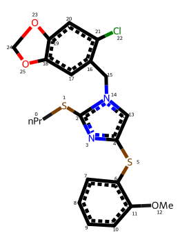 CCCSc1nc(Sc2ccccc2OC)cn1Cc1cc2c(cc1Cl)OCO2